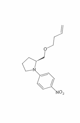 C=CCCOC[C@@H]1CCCN1c1ccc([N+](=O)[O-])cc1